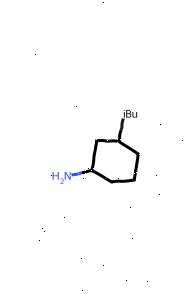 CCC(C)C1CCCC(N)C1